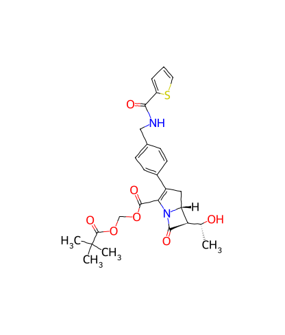 C[C@@H](O)[C@H]1C(=O)N2C(C(=O)OCOC(=O)C(C)(C)C)=C(c3ccc(CNC(=O)c4cccs4)cc3)C[C@H]12